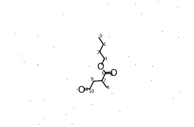 CCCCOC(=O)C(C)CC[O]